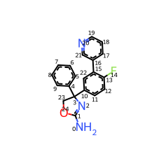 NC1=NC(c2ccccc2)(c2ccc(F)c(-c3cccnc3)c2)CO1